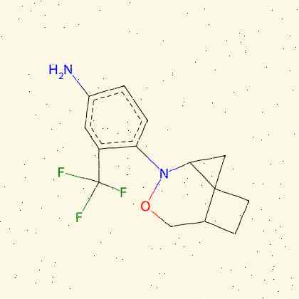 Nc1ccc(N2OCC3CCC34CC24)c(C(F)(F)F)c1